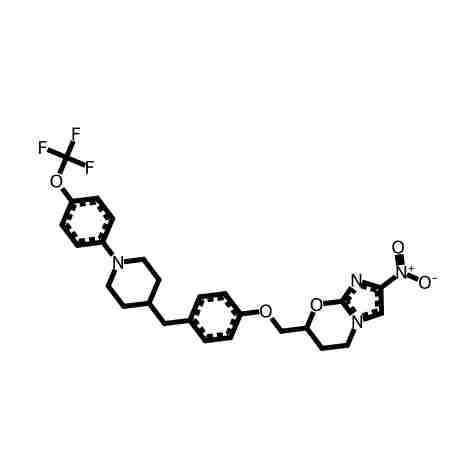 O=[N+]([O-])c1cn2c(n1)OC(COc1ccc(CC3CCN(c4ccc(OC(F)(F)F)cc4)CC3)cc1)CC2